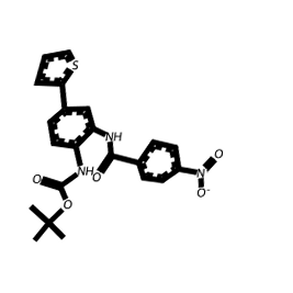 CC(C)(C)OC(=O)Nc1ccc(-c2cccs2)cc1NC(=O)c1ccc([N+](=O)[O-])cc1